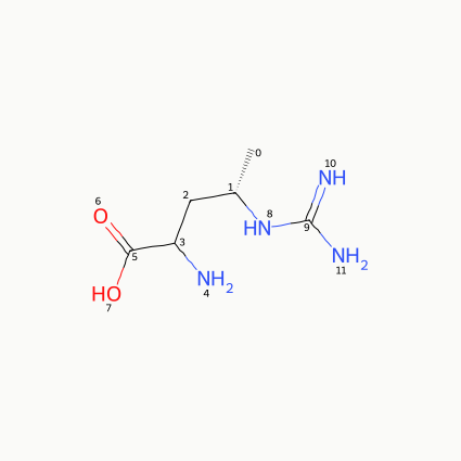 C[C@@H](CC(N)C(=O)O)NC(=N)N